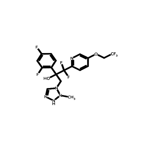 CN1NN=CN1CC(O)(c1ccc(F)cc1F)C(F)(F)c1ccc(OCC(F)(F)F)cn1